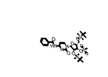 CC(C)(C)[Si](C)(C)OC[C@H]1O[C@@H](n2ccc(NC(=O)c3ccccc3)nc2=O)[C@H](O[Si](C)(C)C(C)(C)C)[C@@H]1OS(C)(=O)=O